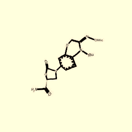 CON=C1COc2cc(N3C[C@H](C(N)=O)OC3=O)ccc2N1C(C)(C)C